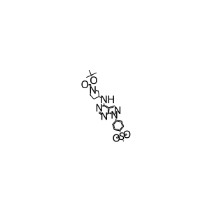 CC(C)(C)OC(=O)N1CCC(Nc2ncnc3c2cnn3-c2ccc(S(C)(=O)=O)cc2)C1